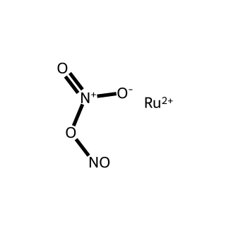 O=NO[N+](=O)[O-].[Ru+2]